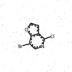 Clc1ncc(Br)c2occc12